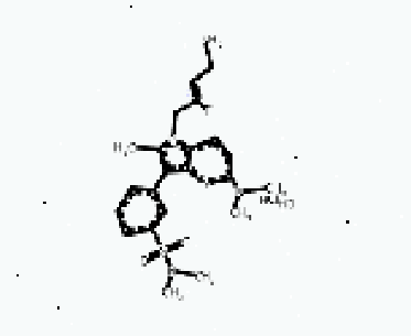 Cc1c(-c2cccc(S(=O)(=O)N(C)C)c2)c2nc(N(C)C)ccc2n1C/C(F)=C/CN.Cl.Cl